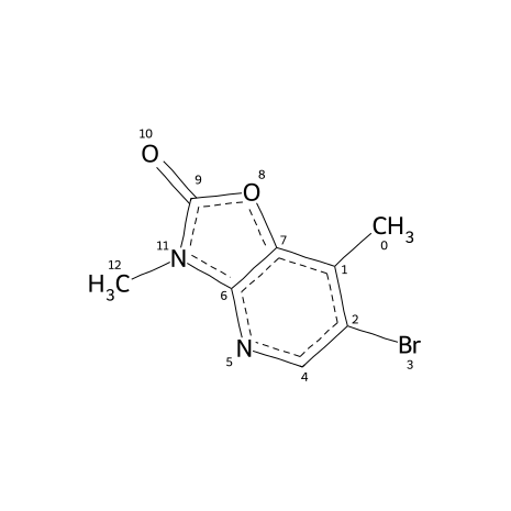 Cc1c(Br)cnc2c1oc(=O)n2C